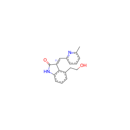 Cc1cccc(/C=C2/C(=O)Nc3cccc(CCO)c32)n1